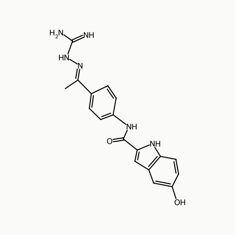 C/C(=N\NC(=N)N)c1ccc(NC(=O)c2cc3cc(O)ccc3[nH]2)cc1